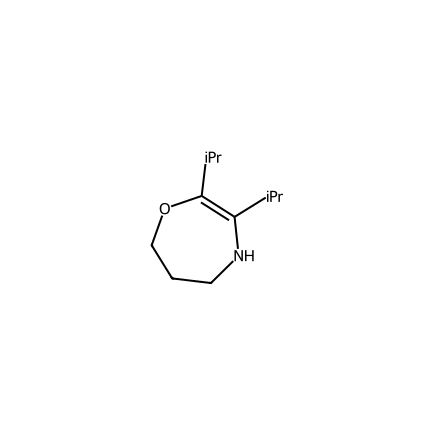 CC(C)C1=C(C(C)C)OCCCN1